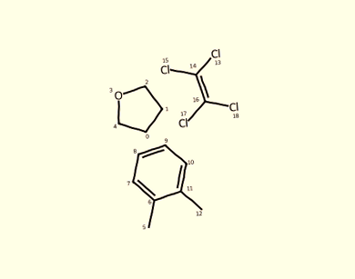 C1CCOC1.Cc1ccccc1C.ClC(Cl)=C(Cl)Cl